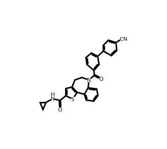 N#Cc1ccc(-c2cccc(C(=O)N3CCc4cc(C(=O)NC5CC5)sc4-c4ccccc43)c2)cc1